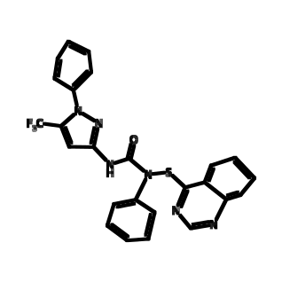 O=C(Nc1cc(C(F)(F)F)n(-c2ccccc2)n1)N(Sc1ncnc2ccccc12)c1ccccc1